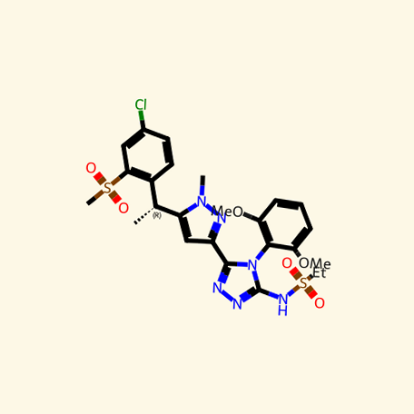 CCS(=O)(=O)Nc1nnc(-c2cc([C@H](C)c3ccc(Cl)cc3S(C)(=O)=O)n(C)n2)n1-c1c(OC)cccc1OC